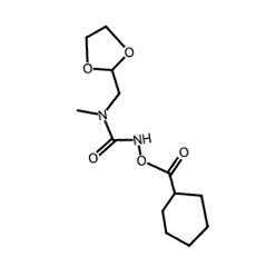 CN(CC1OCCO1)C(=O)NOC(=O)C1CCCCC1